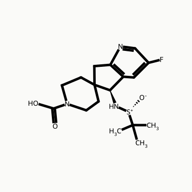 CC(C)(C)[S@@+]([O-])N[C@@H]1c2cc(F)cnc2CC12CCN(C(=O)O)CC2